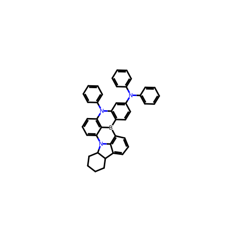 c1ccc(N(c2ccccc2)c2ccc3c(c2)N(c2ccccc2)c2cccc4c2B3c2cccc3c2N4C2CCCCC32)cc1